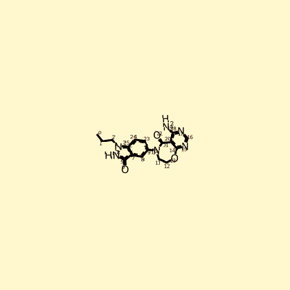 CCCn1[nH]c(=O)c2cc(N3CCOc4ncnc(N)c4C3=O)ccc21